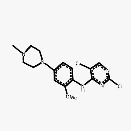 COc1cc(N2CCN(C)CC2)ccc1Nc1nc(Cl)ncc1Cl